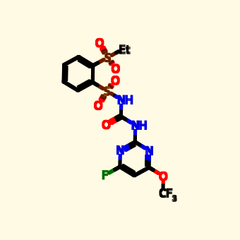 CCS(=O)(=O)c1ccccc1S(=O)(=O)NC(=O)Nc1nc(F)cc(OC(F)(F)F)n1